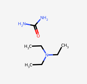 CCN(CC)CC.NC(N)=O